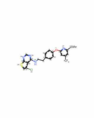 CSc1cc(C(F)(F)F)cc(Oc2ccc(CCNc3ncnc4scc(Cl)c34)cc2)n1